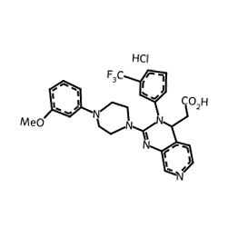 COc1cccc(N2CCN(C3=Nc4cnccc4C(CC(=O)O)N3c3cccc(C(F)(F)F)c3)CC2)c1.Cl